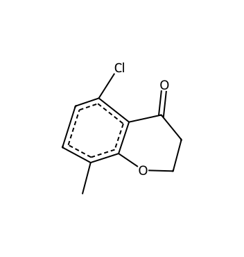 Cc1ccc(Cl)c2c1OCCC2=O